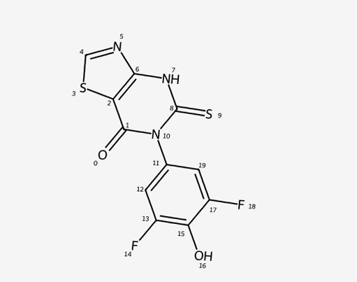 O=c1c2scnc2[nH]c(=S)n1-c1cc(F)c(O)c(F)c1